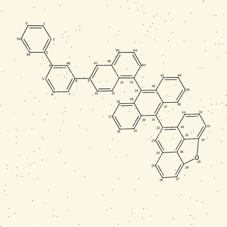 c1ccc(-c2cccc(-c3ccc4c(-c5c6ccccc6c(-c6cc7cccc8oc9cccc6c9c78)c6ccccc56)cccc4c3)c2)cc1